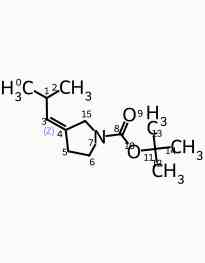 CC(C)/C=C1/CCN(C(=O)OC(C)(C)C)C1